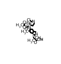 Cc1cc2c(cnn2CC(C)(C)C(=O)O)cc1N(C(=O)OC(C)(C)C)c1ccnc(Cl)n1